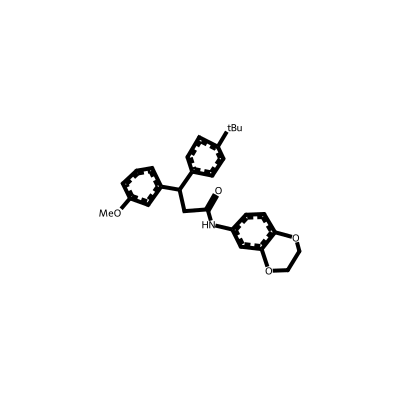 COc1cccc(C(CC(=O)Nc2ccc3c(c2)OCCO3)c2ccc(C(C)(C)C)cc2)c1